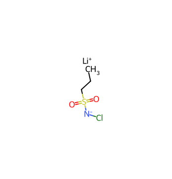 CCCS(=O)(=O)[N-]Cl.[Li+]